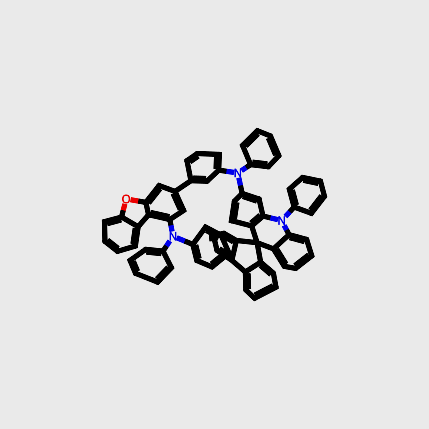 c1ccc(N(c2cccc(-c3cc(N(c4ccccc4)c4ccccc4)c4c(c3)oc3ccccc34)c2)c2ccc3c(c2)N(c2ccccc2)c2ccccc2C32c3ccccc3-c3ccccc32)cc1